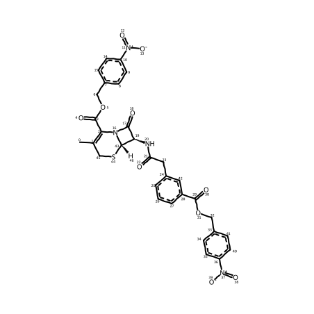 CC1=C(C(=O)OCc2ccc([N+](=O)[O-])cc2)N2C(=O)[C@@H](NC(=O)Cc3cccc(C(=O)OCc4ccc([N+](=O)[O-])cc4)c3)[C@@H]2SC1